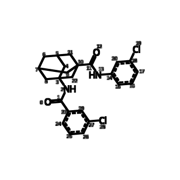 O=C(NC12CC3CC(C1)CC(C(=O)Nc1cccc(Cl)c1)(C3)C2)c1cccc(Cl)c1